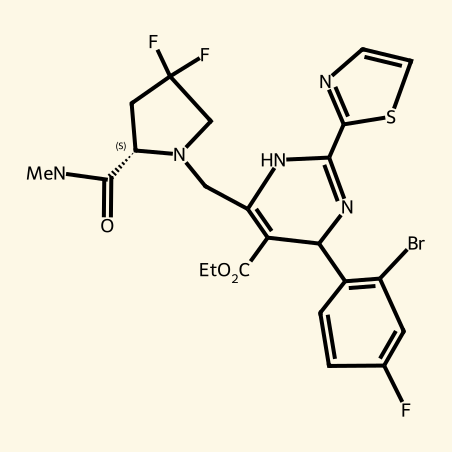 CCOC(=O)C1=C(CN2CC(F)(F)C[C@H]2C(=O)NC)NC(c2nccs2)=NC1c1ccc(F)cc1Br